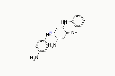 N=C1C=C(N)/C(=N\c2ccc(N)cc2)C=C1Nc1ccccc1